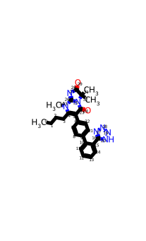 CCCCC1=C(c2ccc(-c3ccccc3-c3nnn[nH]3)cc2)C(=O)N2C(=NC(=O)C2(C)C)N1C